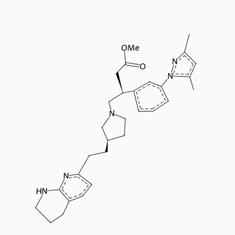 COC(=O)C[C@H](CN1CC[C@@H](CCc2ccc3c(n2)NCCC3)C1)c1cccc(-n2nc(C)cc2C)c1